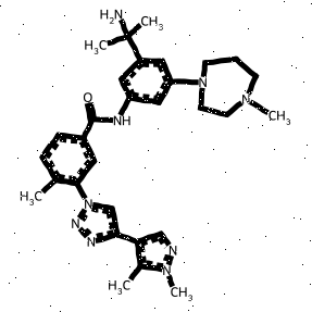 Cc1ccc(C(=O)Nc2cc(N3CCCN(C)CC3)cc(C(C)(C)N)c2)cc1-n1cc(-c2cnn(C)c2C)nn1